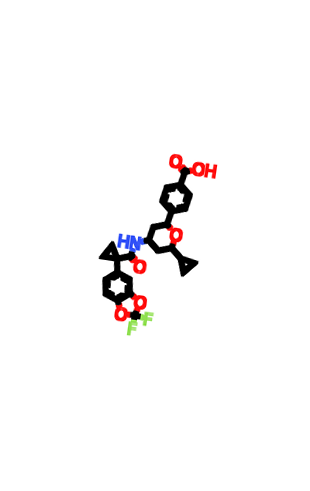 O=C(O)c1ccc(C2CC(NC(=O)C3(c4ccc5c(c4)OC(F)(F)O5)CC3)CC(C3CC3)O2)cc1